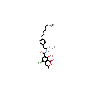 CC1Cc2c(Cl)cc(C(=O)N[C@@H](Cc3ccc(CCCCCC(=O)O)cc3)C(=O)O)c(O)c2C(=O)O1